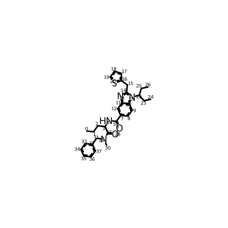 CCCC(NC(=O)c1ccc2c(c1)nc(Cc1cccs1)n2C(CC)CC)C(=O)N(C)Cc1ccccc1